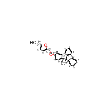 CCC(c1ccccc1)(c1ccccc1)c1ccc(OCc2ccc(C(=O)O)o2)cc1